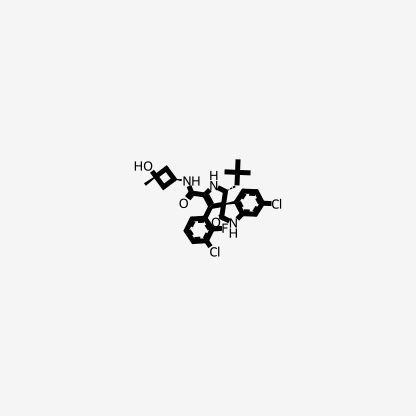 CC(C)(C)C[C@H]1NC(C(=O)N[C@H]2C[C@@](C)(O)C2)=C(c2cccc(Cl)c2F)[C@@]12C(=O)Nc1cc(Cl)ccc12